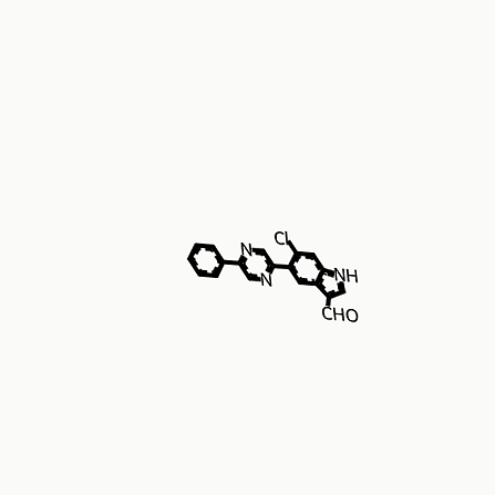 O=Cc1c[nH]c2cc(Cl)c(-c3cnc(-c4ccccc4)cn3)cc12